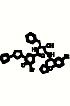 CCc1ccc2c(c1)C(NC[C@@H](O)[C@H](Cc1ccccc1)NC(=O)c1cc(Br)c(=O)n(C3CCC(c4ccccc4)C3)c1)CC1(CCCC1)O2